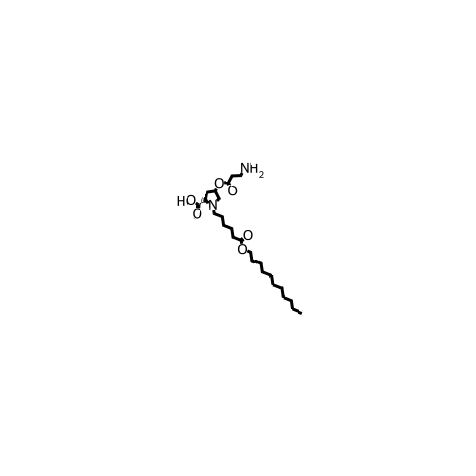 CCCCCCCCCCCOC(=O)CCCCCN1CC(OC(=O)CCN)C[C@H]1C(=O)O